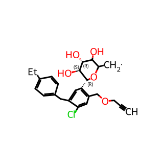 C#CCOCc1cc(Cl)c(Cc2ccc(CC)cc2)cc1[C@H]1OC([CH2])C(O)[C@@H](O)[C@@H]1O